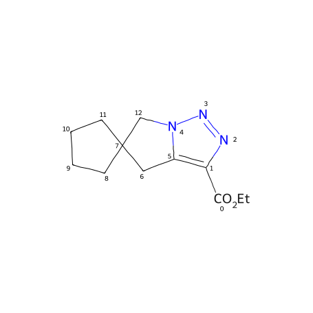 CCOC(=O)c1nnn2c1CC1(CCCC1)C2